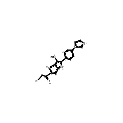 CCCCc1c(-c2ccc(-n3ccnc3)cc2)[nH]c2cc(C(=O)CI)sc12